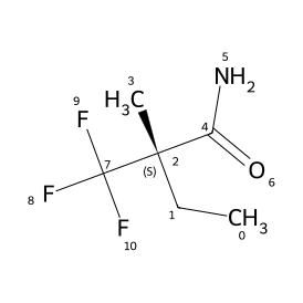 CC[C@@](C)(C(N)=O)C(F)(F)F